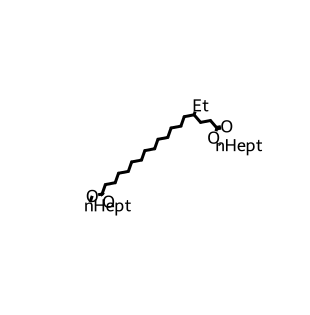 CCCCCCCOC(=O)CCCCCCCCCCCCCC(CC)CCC(=O)OCCCCCCC